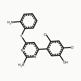 Nc1nc(Sc2ccccc2N)cc(-c2cc(O)c(Cl)cc2Cl)n1